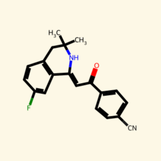 CC1(C)Cc2ccc(F)cc2C(=CC(=O)c2ccc(C#N)cc2)N1